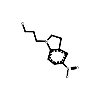 O=[N+]([O-])c1ccc2c(c1)CCN2CCCCl